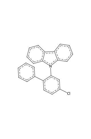 Clc1ccc(-c2ccccc2)c(-n2c3ccccc3c3ccccc32)c1